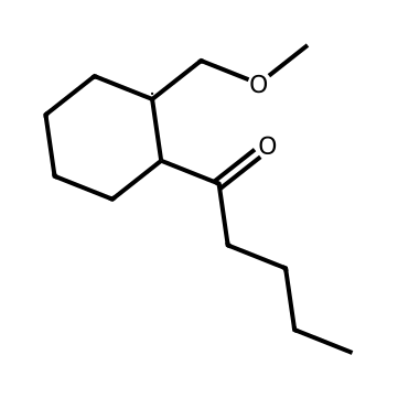 CCCCC(=O)C1CCCC[C]1COC